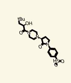 CC(C)(C)C[C@@H](O)C(=O)N1CCN([C@H]2CCN(c3ccc([SH](=O)=O)cc3)C2=O)CC1